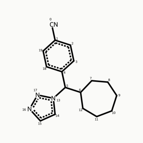 N#Cc1ccc(C(C2CCCCCC2)n2ccnn2)cc1